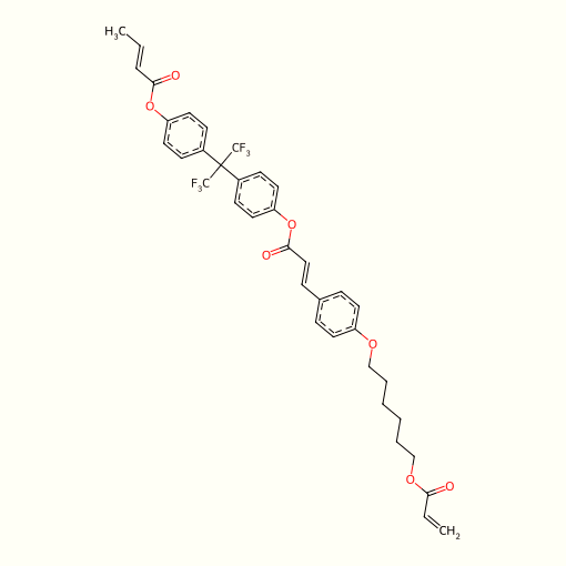 C=CC(=O)OCCCCCCOc1ccc(/C=C/C(=O)Oc2ccc(C(c3ccc(OC(=O)/C=C/C)cc3)(C(F)(F)F)C(F)(F)F)cc2)cc1